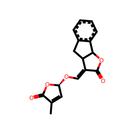 CC1=C[C@H](O/C=C2/C(=O)OC3c4ccccc4CC23)OC1=O